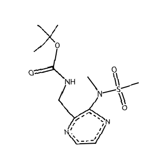 CN(c1nccnc1CNC(=O)OC(C)(C)C)S(C)(=O)=O